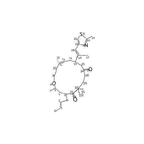 CC=CCC1CC(C)OCCC(C)=CCC(C(C)=Cc2csc(C)n2)CC(=O)CCC(C)(C)C1=O